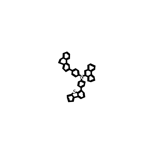 c1ccc2c(c1)ccc1ccc(-c3ccc(N(c4ccc(-c5cccc6c5sc5ccccc56)cc4)c4cc5ccccc5c5ccccc45)cc3)cc12